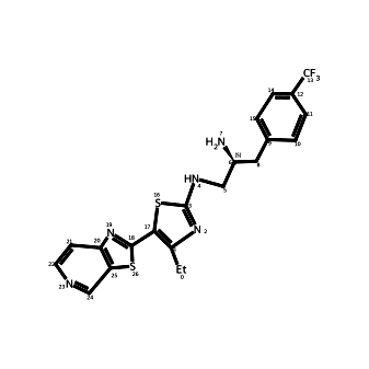 CCc1nc(NC[C@@H](N)Cc2ccc(C(F)(F)F)cc2)sc1-c1nc2ccncc2s1